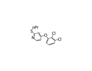 CCCSc1[c]c(Oc2cccc(Cl)c2Cl)ccn1